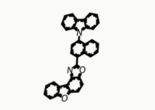 c1ccc2c(c1)oc1ccc3oc(-c4ccc(-n5c6ccccc6c6ccccc65)c5ccccc45)nc3c12